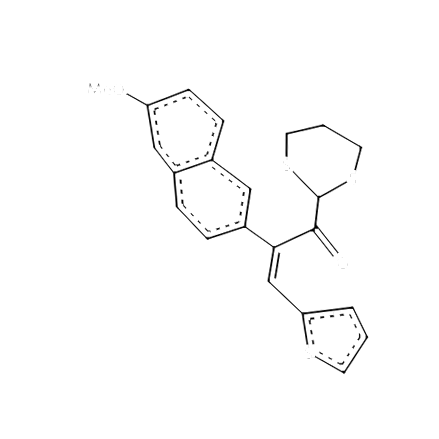 COc1ccc2cc(C(=Cc3cccs3)C(=O)C3SCCCS3)ccc2c1